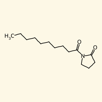 CCCCCCCCCC(=O)N1CCCC1=O